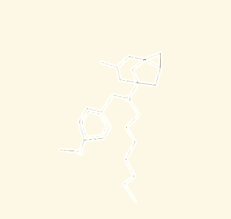 CCCCCCCN(Cc1ccc(OC)cc1)C12CC(C)CC3(CC3C1)C2